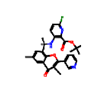 Cc1cc([C@@H](C)Nc2ccc(F)nc2C(=O)OC(C)(C)C)c2oc(-c3cccnc3)c(C)c(=O)c2c1